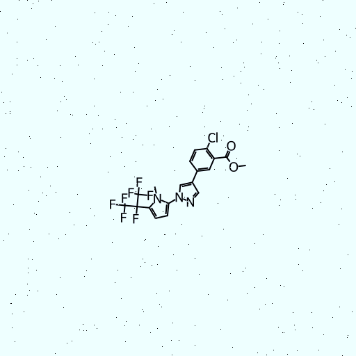 COC(=O)c1cc(-c2cnn(-c3ccc(C(F)(C(F)(F)F)C(F)(F)F)n3C)c2)ccc1Cl